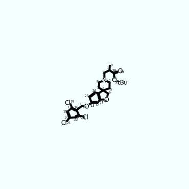 CC(CN1CCC2(CC1)COc1cc(OCc3c(Cl)cc(Cl)cc3Cl)ccc12)C(=O)OC(C)(C)C